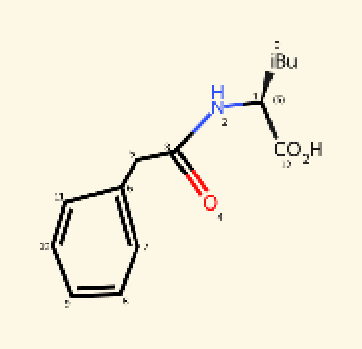 CCC(C)[C@H](NC(=O)Cc1ccccc1)C(=O)O